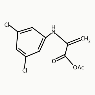 C=C(Nc1cc(Cl)cc(Cl)c1)C(=O)OC(C)=O